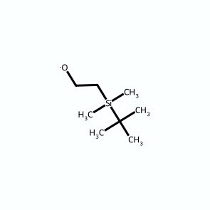 CC(C)(C)[Si](C)(C)CC[O]